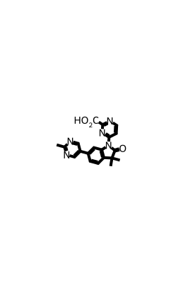 Cc1ncc(-c2ccc3c(c2)N(c2ccnc(C(=O)O)n2)C(=O)C3(C)C)cn1